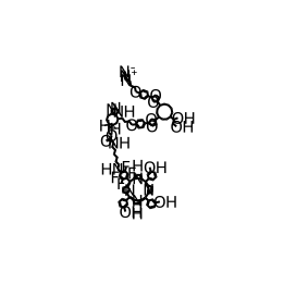 [N-]=[N+]=NCCCOc1ccc(C2OCC(C3CCCCC(C(O)CO)CCC(C4COC(c5ccc(OCCCC6C[C@H]7[C@@H](CCc8nn[nH]c86)[C@H]7COC(=O)NCCCCCCNc6c(F)c(F)c(-c7c8nc(c(-c9cccc(O)c9)c9ccc([nH]9)c(-c9cccc(O)c9)c9nc(c(-c%10cccc(O)c%10)c%10ccc7[nH]%10)C=C9)C=C8)c(F)c6F)cc5)O4)CC3)O2)cc1